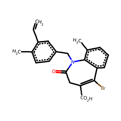 C=Cc1cc(CN2C(=O)CC(C(=O)O)=C(Br)c3cccc(C)c32)ccc1C